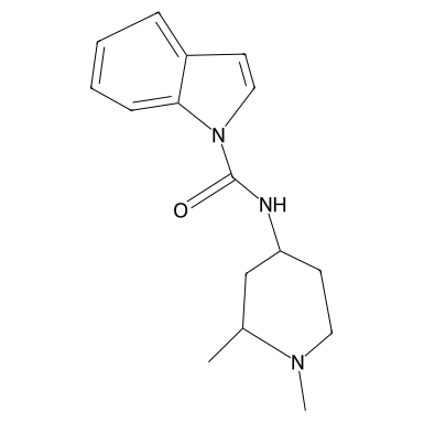 CC1CC(NC(=O)n2ccc3ccccc32)CCN1C